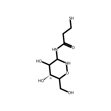 O=C(CCS)NC1NOC(CO)[C@H](O)C1O